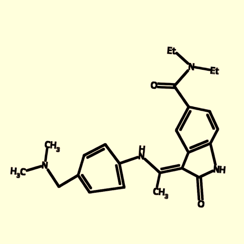 CCN(CC)C(=O)c1ccc2c(c1)C(=C(C)Nc1ccc(CN(C)C)cc1)C(=O)N2